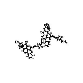 CCCCC(CC)Cn1c(=O)c2ccc3c4c(Nc5ccc(C#Cc6cc7c(=O)n(CC(CC)CCCC)c(=O)c8ccc9c%10ccccc%10sc6c9c87)o5)cccc4oc4c(C#Cc5ccc(N)o5)cc(c1=O)c2c43